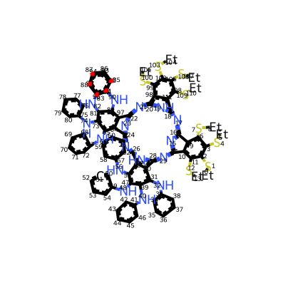 CCSc1c(SCC)c(SCC)c2c(c1SCC)-c1nc-2nc2[nH]c(nc3nc(nc4[nH]c(n1)c1c(Nc5ccccc5)c(Nc5ccccc5)c(Nc5ccccc5)c(Nc5ccccc5)c41)-c1c(Nc4ccccc4)c(Nc4ccccc4)c(Nc4ccccc4)c(Nc4ccccc4)c1-3)c1c(SCC)c(SCC)c(SCC)c(SCC)c21